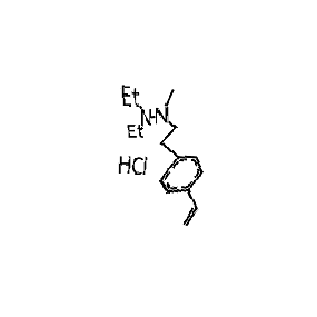 C=Cc1ccc(CCN(C)N(CC)CC)cc1.Cl